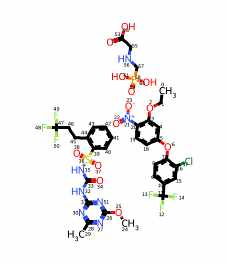 CCOc1cc(Oc2ccc(C(F)(F)F)cc2Cl)ccc1[N+](=O)[O-].COc1nc(C)nc(NC(=O)NS(=O)(=O)c2ccccc2CCC(F)(F)F)n1.O=C(O)CNCP(=O)(O)O